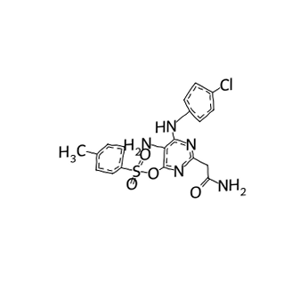 Cc1ccc(S(=O)(=O)Oc2nc(CC(N)=O)nc(Nc3ccc(Cl)cc3)c2N)cc1